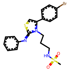 CS(=O)(=O)NCCCn1c(-c2ccc(Br)cc2)csc1=Nc1ccccc1